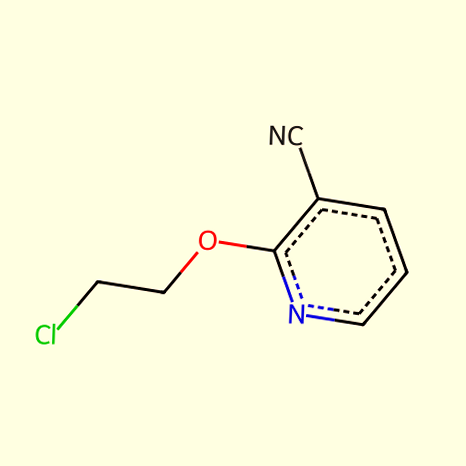 N#Cc1cccnc1OCCCl